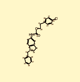 O=C(Nc1ccc2c(c1)CCN2Cc1ccccc1)OCCc1ccc(Cl)cc1